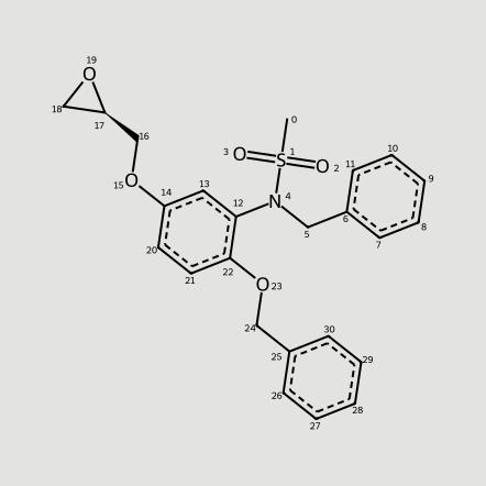 CS(=O)(=O)N(Cc1ccccc1)c1cc(OC[C@H]2CO2)ccc1OCc1ccccc1